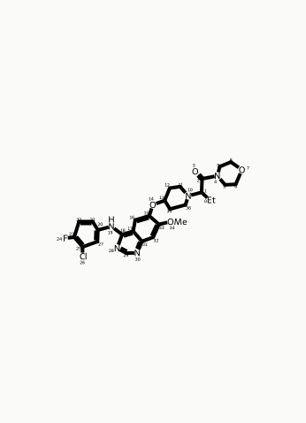 CCC(C(=O)N1CCOCC1)N1CCC(Oc2cc3c(Nc4ccc(F)c(Cl)c4)ncnc3cc2OC)CC1